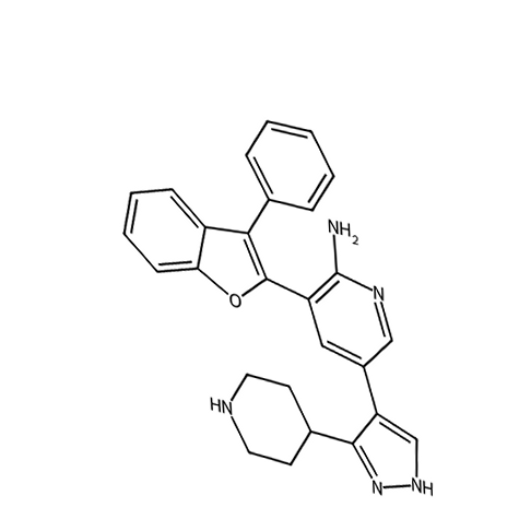 Nc1ncc(-c2c[nH]nc2C2CCNCC2)cc1-c1oc2ccccc2c1-c1ccccc1